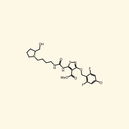 COC(=O)c1c(OCc2c(F)cc(Cl)cc2F)nsc1NC(=O)NCCCCN1CCCC1CO